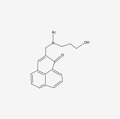 CC(=O)N(CCCO)CC1=Cc2cccc3cccc(c23)C1=O